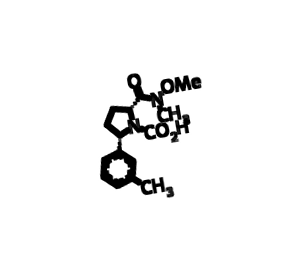 CON(C)C(=O)[C@H]1CC[C@@H](c2cccc(C)c2)N1C(=O)O